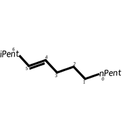 CCCCCCCCC=CC(C)CCC